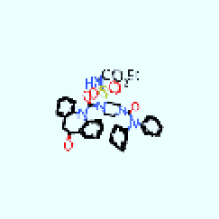 CCOC(=O)NS(=O)(=O)[C@@H]1CN(C(=O)N(c2ccccc2)c2ccccc2)CCN1C(=O)N1c2ccccc2CC(=O)c2ccccc21